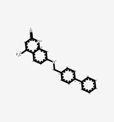 O=c1cc(C(F)(F)F)c2ccc(OCc3ccc(-c4ccccc4)cc3)cc2o1